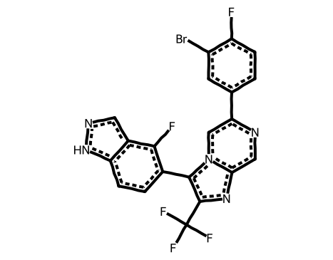 Fc1ccc(-c2cn3c(-c4ccc5[nH]ncc5c4F)c(C(F)(F)F)nc3cn2)cc1Br